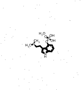 CN(C)CCc1c[nH]c2cccc(OP(=O)(O)O)c12.O